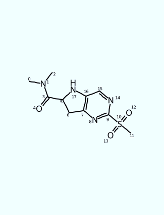 CN(C)C(=O)C1Cc2nc(S(C)(=O)=O)ncc2N1